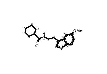 COc1ccc2scc(CCNC(=O)C3CCCCC3)c2c1